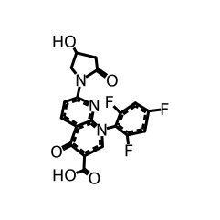 O=C(O)c1cn(-c2c(F)cc(F)cc2F)c2nc(N3CC(O)CC3=O)ccc2c1=O